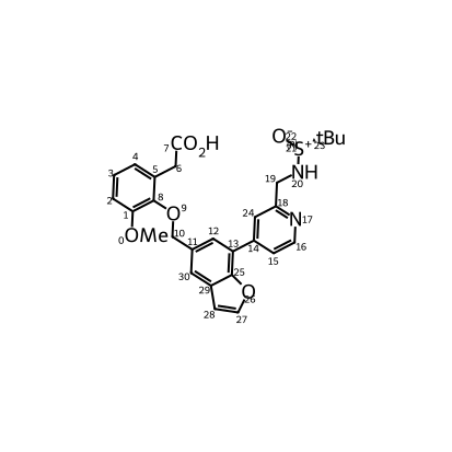 COc1cccc(CC(=O)O)c1OCc1cc(-c2ccnc(CN[S@@+]([O-])C(C)(C)C)c2)c2occc2c1